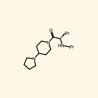 CC(C)N[C@@H](C(=O)N1CCC(N2CCCC2)CC1)C(C)C